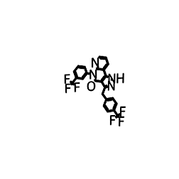 O=c1c2c(Cc3ccc(C(F)(F)F)cc3)n[nH]c2c2cccnc2n1-c1cccc(C(F)(F)F)c1